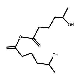 C=C(CCCC(C)O)OC(=C)CCCC(C)O